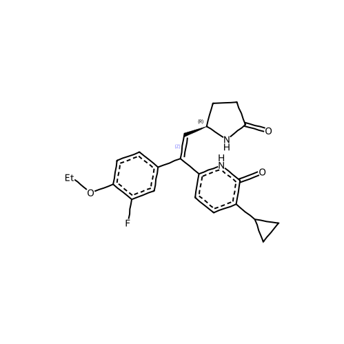 CCOc1ccc(/C(=C/[C@H]2CCC(=O)N2)c2ccc(C3CC3)c(=O)[nH]2)cc1F